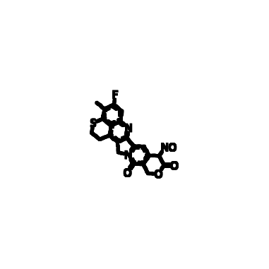 Cc1c(F)cc2nc3c(c4c2c1SCC4)Cn1c-3cc2c(c1=O)COC(=O)C2N=O